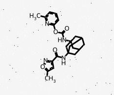 Cc1cccc(OC(=O)NC23CC4CC(C2)CC(NC(=O)c2cc(C)on2)(C4)C3)n1